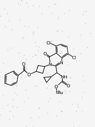 CC(C)(C)OC(=O)NC(c1nc2c(Cl)ccc(Cl)c2c(=O)n1C1CC(OC(=O)c2ccccc2)C1)C1CC1